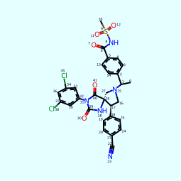 CC(c1ccc(C(=O)NS(C)(=O)=O)cc1)N1C[C@@H](c2ccc(C#N)cc2)[C@@]2(C1)NC(=O)N(c1cc(Cl)cc(Cl)c1)C2=O